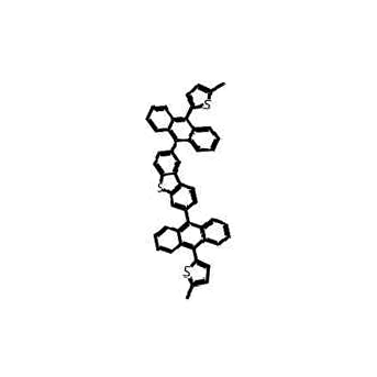 Cc1ccc(-c2c3ccccc3c(-c3ccc4c(c3)sc3ccc(-c5c6ccccc6c(-c6ccc(C)s6)c6ccccc56)cc34)c3ccccc23)s1